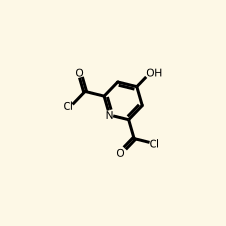 O=C(Cl)c1cc(O)cc(C(=O)Cl)n1